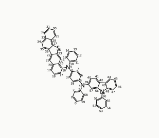 c1ccc(N(c2ccc(N(c3ccccc3)c3cccc4cc5c(cc34)sc3c4ccccc4ccc53)cc2)c2ccc3c4ccccc4n(-c4ccccc4)c3c2)cc1